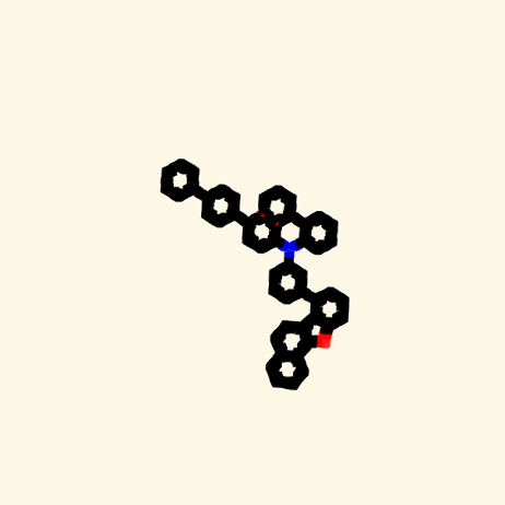 c1ccc(-c2ccc(-c3ccc(N(c4cccc(-c5cccc6oc7c8ccccc8ccc7c56)c4)c4ccccc4-c4ccccc4)cc3)cc2)cc1